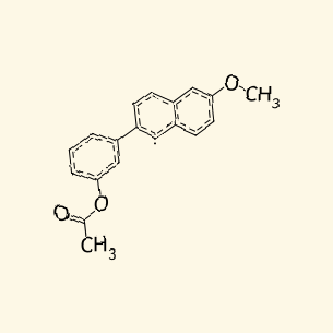 COc1ccc2[c]c(-c3cccc(OC(C)=O)c3)ccc2c1